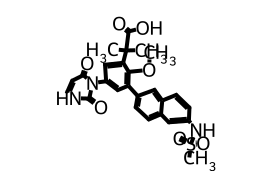 COc1c(-c2ccc3cc(NS(C)(=O)=O)ccc3c2)cc(-n2c(=O)cc[nH]c2=O)cc1C(C)(C)C(=O)O